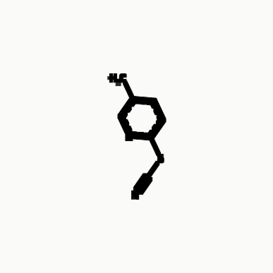 [CH2]c1ccc(SC#N)nc1